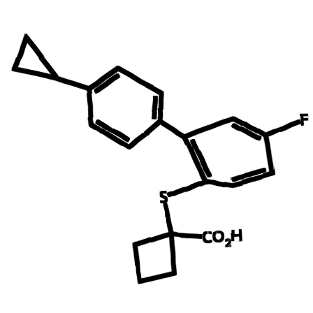 O=C(O)C1(Sc2ccc(F)cc2-c2ccc(C3CC3)cc2)CCC1